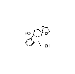 OCCc1ccccc1C1(O)CCC2(CC1)OCCO2